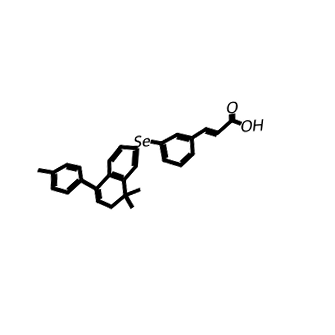 Cc1ccc(C2=CCC(C)(C)c3cc([Se]c4cccc(/C=C/C(=O)O)c4)ccc32)cc1